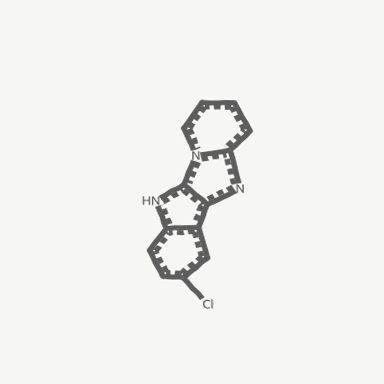 Clc1ccc2[nH]c3c(nc4ccccn43)c2c1